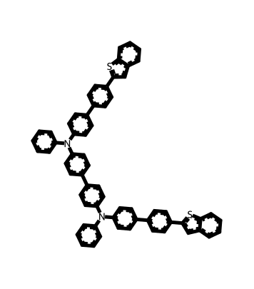 c1ccc(N(c2ccc(-c3ccc(-c4cc5ccccc5s4)cc3)cc2)c2ccc(-c3ccc(N(c4ccccc4)c4ccc(-c5ccc(-c6cc7ccccc7s6)cc5)cc4)cc3)cc2)cc1